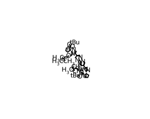 CC(C)(C)OC(=O)N1CCC[C@H]1c1ncc(-c2cnc(-c3ncc(-c4cnc([C@@H]5CCCN5C(=O)OC(C)(C)C)n4COCCS(C)(C)C)cn3)nc2)n1COCCS(C)(C)C